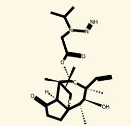 C=C[C@]1(C)C[C@@H](OC(=O)CN(N=N)C(C)C)[C@]2(C)[C@H](C)CC[C@]3(CCC(=O)[C@H]32)[C@@H](C)[C@@H]1O